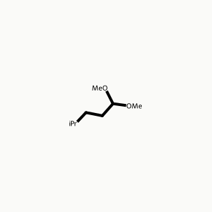 COC(CCC(C)C)OC